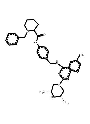 Cc1ccc2nc(N3C[C@@H](C)N[C@@H](C)C3)nc(NCc3ccc(NC(=O)C4CCCCN4Cc4ccccc4)cc3)c2c1